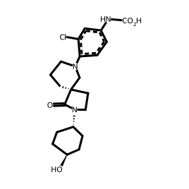 O=C(O)Nc1ccc(N2CCC[C@@]3(CCN([C@H]4CC[C@H](O)CC4)C3=O)C2)c(Cl)c1